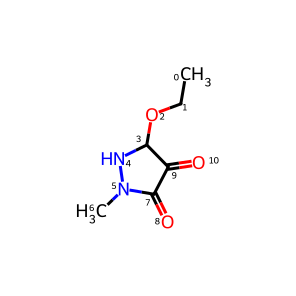 CCOC1NN(C)C(=O)C1=O